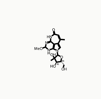 COC1N=C2NC(=O)C=C(C)c3cn(C4O[C@H](CO)[C@@H](O)C4(C)O)c(c32)N1